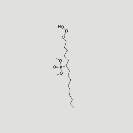 CCCCCCCCCC(CCCCCOOO)P(=O)(OC)OC